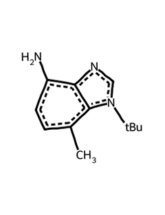 Cc1ccc(N)c2ncn(C(C)(C)C)c12